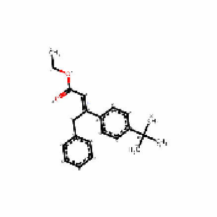 CCOC(=O)/C=C(\Cc1ccccc1)c1ccc(C(C)(C)C)cc1